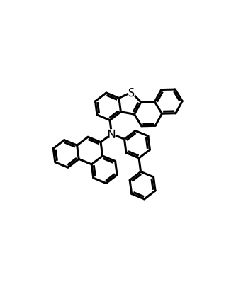 c1ccc(-c2cccc(N(c3cc4ccccc4c4ccccc34)c3cccc4sc5c6ccccc6ccc5c34)c2)cc1